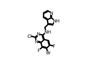 Fc1cc2c(NCc3c[nH]c4ncccc34)nc(Cl)nc2c(F)c1Br